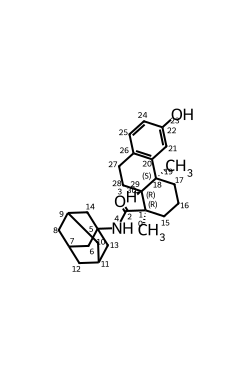 C[C@@]1(C(=O)NC23CC4CC(CC(C4)C2)C3)CCC[C@]2(C)c3cc(O)ccc3CC[C@@H]12